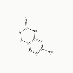 Cc1ccc2c(c1)NC(=O)CC2